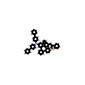 c1ccc(-c2ccc(N(c3ccc(-c4ccccc4)cc3)c3ccc4c(c3)-c3ccccc3-c3ccccc3C43c4ccccc4-c4cc5c(cc43)sc3ccccc35)cc2)cc1